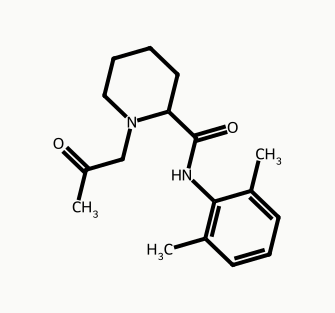 CC(=O)CN1CCCCC1C(=O)Nc1c(C)cccc1C